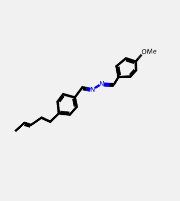 CC=CCCc1ccc(C=NN=Cc2ccc(OC)cc2)cc1